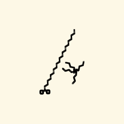 CCCCCCCCCCCCCCCCCCCCCC(=O)[O-].CCCC[N+](CCCC)(CCCC)CCCC